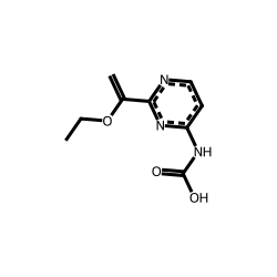 C=C(OCC)c1nccc(NC(=O)O)n1